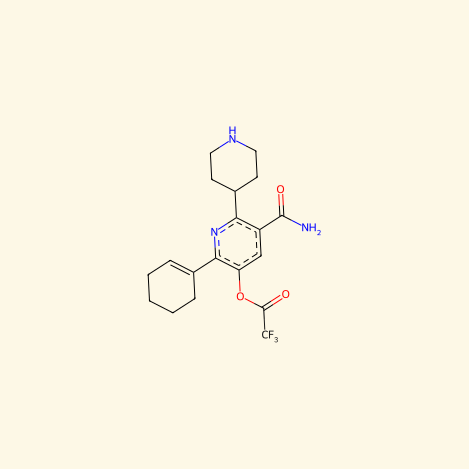 NC(=O)c1cc(OC(=O)C(F)(F)F)c(C2=CCCCC2)nc1C1CCNCC1